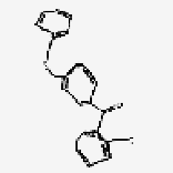 O=C(c1ccc(Sc2ccccc2)cc1)c1ccccc1Cl